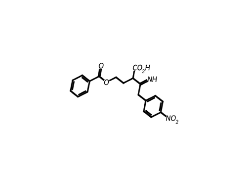 N=C(Cc1ccc([N+](=O)[O-])cc1)C(CCOC(=O)c1ccccc1)C(=O)O